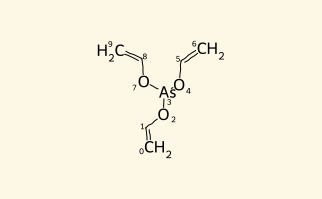 C=CO[As](OC=C)OC=C